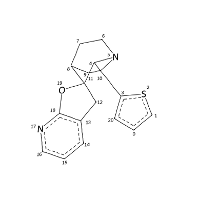 c1csc(C2N3CCC(CC3)C23Cc2cccnc2O3)c1